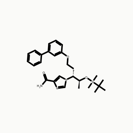 C[C@H](O[Si](C)(C)C(C)(C)C)[C@@H](CCOc1cccc(-c2ccccc2)c1)n1cnc(C(N)=O)c1